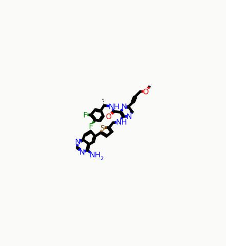 COCC#Cc1cnc(NCc2ccc(-c3ccc4ncnc(N)c4c3)s2)c(C(=O)N[C@@H](C)c2ccc(F)c(F)c2)n1